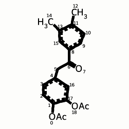 CC(=O)Oc1ccc(CC(=O)c2ccc(C)c(C)c2)cc1OC(C)=O